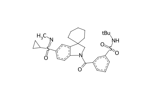 CN=S(=O)(c1ccc2c(c1)C1(CCCCC1)CN2C(=O)c1cccc(S(=O)(=O)NC(C)(C)C)c1)C1CC1